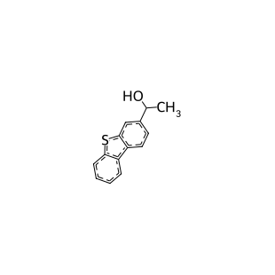 CC(O)c1ccc2c(c1)sc1ccccc12